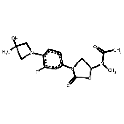 CC(=O)N(C)C1CN(c2ccc(N3CC(C)(O)C3)c(F)c2)C(=O)O1